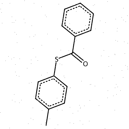 Cc1ccc(SC(=O)c2ccccc2)cc1